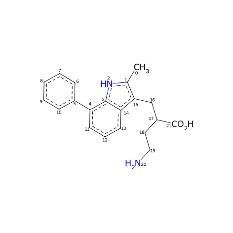 Cc1[nH]c2c(-c3ccccc3)cccc2c1CC(CCN)C(=O)O